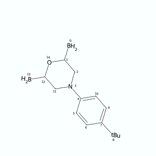 BC1CN(c2ccc(C(C)(C)C)cc2)CC(B)O1